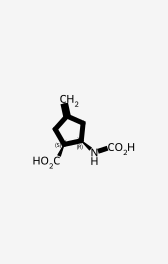 C=C1C[C@H](C(=O)O)[C@H](NC(=O)O)C1